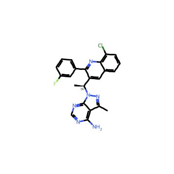 Cc1nn([C@@H](C)c2cc3cccc(Cl)c3nc2-c2cccc(F)c2)c2ncnc(N)c12